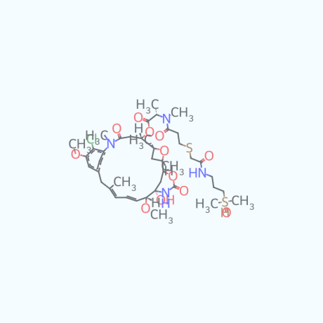 COc1cc2cc(c1Cl)N(C)C(=O)C[C@H](OC(=O)[C@H](C)N(C)C(=O)CCSCC(=O)NCCC[SH](C)(C)=O)[C@@]1(C)CC(C)(O1)[C@@H]1C[C@@](O)(NC(=O)O1)[C@H](OC)/C=C/C=C(\C)C2